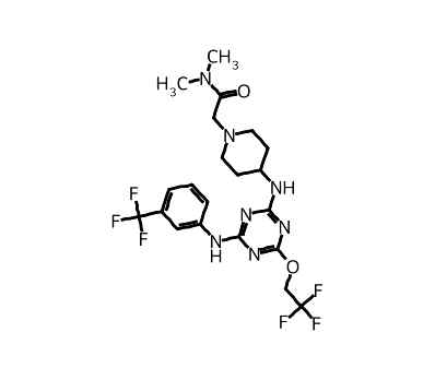 CN(C)C(=O)CN1CCC(Nc2nc(Nc3cccc(C(F)(F)F)c3)nc(OCC(F)(F)F)n2)CC1